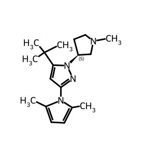 Cc1ccc(C)n1-c1cc(C(C)(C)C)n([C@H]2CCN(C)C2)n1